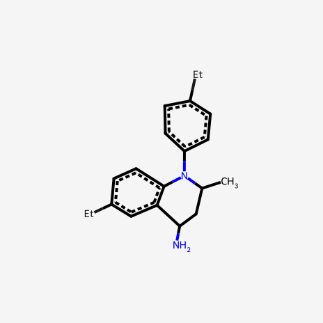 CCc1ccc(N2c3ccc(CC)cc3C(N)CC2C)cc1